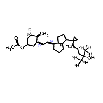 [2H]C([2H])([2H])C(O)(CCCC1(C2CCC3/C(=C/C=C4/CC(OC(C)=O)C[C@H](F)C4=C)CCC[C@@]32C)CC1)C([2H])([2H])[2H]